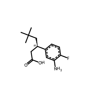 CC(C)(C)C[C@H](CC(=O)O)c1ccc(F)c(N)c1